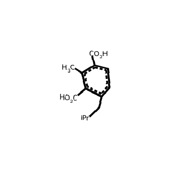 Cc1c(C(=O)O)ccc(CC(C)C)c1C(=O)O